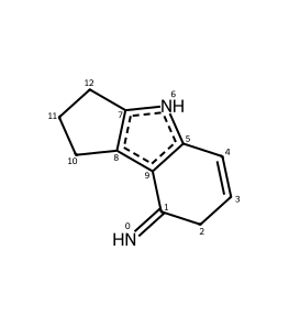 N=C1CC=Cc2[nH]c3c(c21)CCC3